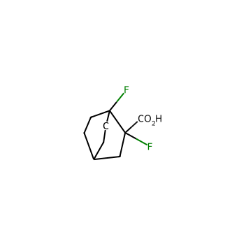 O=C(O)C1(F)CC2CCC1(F)CC2